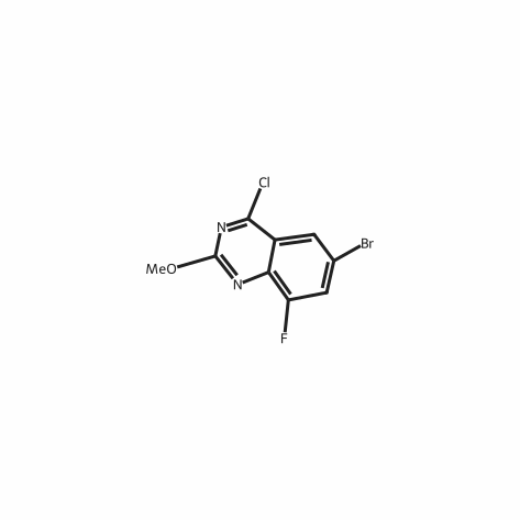 COc1nc(Cl)c2cc(Br)cc(F)c2n1